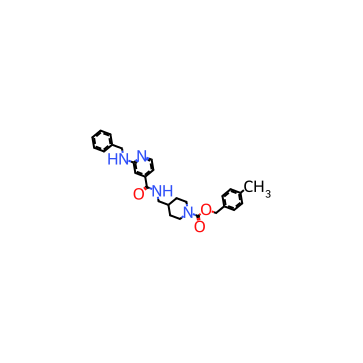 Cc1ccc(COC(=O)N2CCC(CNC(=O)c3ccnc(NCc4ccccc4)c3)CC2)cc1